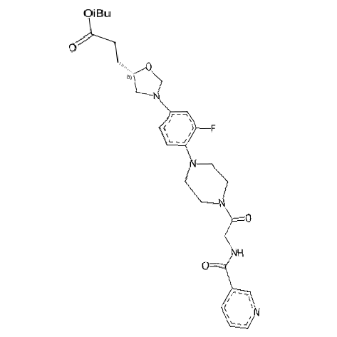 CC(C)COC(=O)CC[C@H]1CN(c2ccc(N3CCN(C(=O)CNC(=O)c4cccnc4)CC3)c(F)c2)CO1